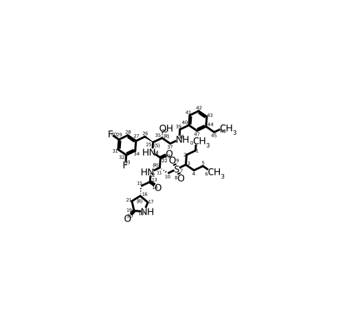 CCCC(CCC)S(=O)(=O)C[C@H](NC(=O)C[C@@H]1CNC(=O)C1)C(=O)N[C@@H](Cc1cc(F)cc(F)c1)[C@H](O)CNCc1cccc(CC)c1